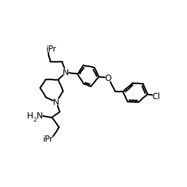 CC(C)CCN(c1ccc(OCc2ccc(Cl)cc2)cc1)C1CCCN(CC(N)CC(C)C)C1